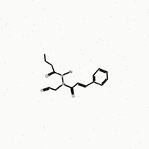 CCCC(=O)N(Br)N(C[C]=O)C(=O)C=Cc1ccccc1